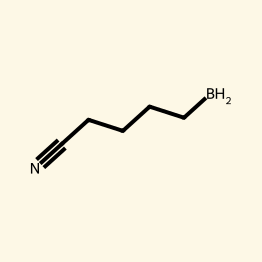 BCCCCC#N